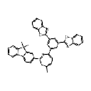 CC1=CC=C(c2cc(-c3nc4ccccc4o3)cc(-c3nc4ccccc4o3)c2)N=C(c2ccc3c(c2)C(C)(C)c2ccccc2-3)C1